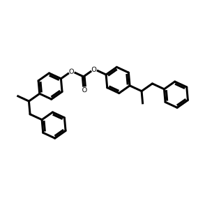 CC(Cc1ccccc1)c1ccc(OC(=O)Oc2ccc(C(C)Cc3ccccc3)cc2)cc1